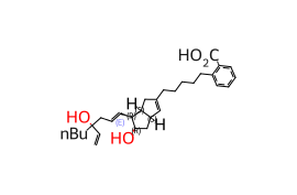 C=CC(O)(C/C=C/[C@H]1[C@H]2CC(CCCCCc3ccccc3C(=O)O)=C[C@H]2C[C@H]1O)CCCC